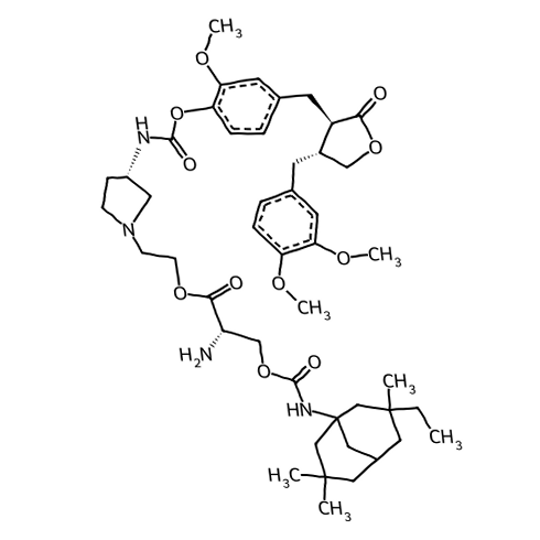 CCC1(C)CC2CC(C)(C)CC(NC(=O)OC[C@H](N)C(=O)OCCN3CC[C@H](NC(=O)Oc4ccc(C[C@H]5C(=O)OC[C@@H]5Cc5ccc(OC)c(OC)c5)cc4OC)C3)(C2)C1